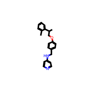 Cc1ccccc1C(C)COc1ccc(CNc2ccncc2)cc1